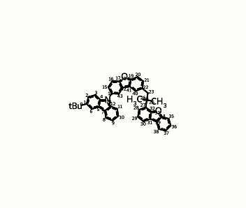 CC(C)(C)c1ccc2c(c1)c1ccccc1n2-c1ccc2oc3ccc(CC(C)(C)c4cccc5c4oc4ccccc45)cc3c2c1